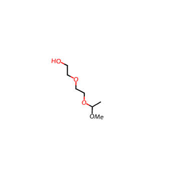 COC(C)OCCOCCO